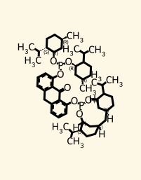 CC(C)C1CC[C@@H](C)C[C@H]1OP(Oc1cccc2c1C(=O)c1c(cccc1OP1O[C@@H]3C[C@@H](CCC3C(C)C)C[C@@H]3CC[C@@H](C(C)C)[C@@H](C3)O1)C2)O[C@@H]1C[C@H](C)CC[C@H]1C(C)C